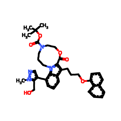 Cn1ncc(-c2cccc3c(CCCOc4cccc5ccccc45)c4n(c23)CCCN(C(=O)OC(C)(C)C)CCOC4=O)c1CO